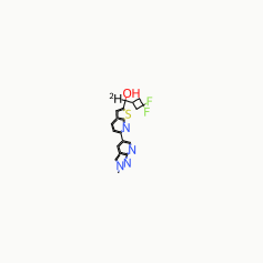 [2H]C(O)(c1cc2ccc(-c3cnc4nn(C)cc4c3)nc2s1)C1CC(F)(F)C1